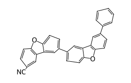 N#Cc1ccc2oc3ccc(-c4ccc5oc6ccc(-c7ccccc7)cc6c5c4)cc3c2c1